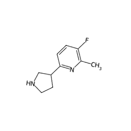 Cc1nc(C2CCNC2)ccc1F